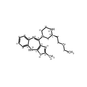 CCOCC[C@H]1CN(C2=Nc3ccccc3Nc3sc(C)nc32)CCN1